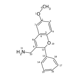 COc1ccc2c(c1)C=C(CN)C(c1ccccc1)O2